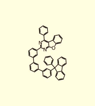 c1ccc(-c2nc(-c3cccc(-c4cccc(-c5cccc(C6(c7ccccc7)c7ccccc7-c7ccccc76)c5)c4)c3)nc3oc4ccccc4c23)cc1